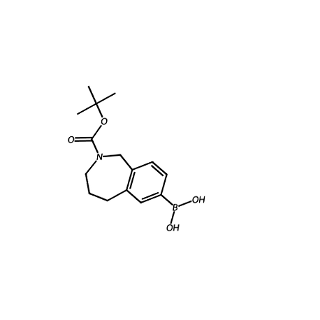 CC(C)(C)OC(=O)N1CCCc2cc(B(O)O)ccc2C1